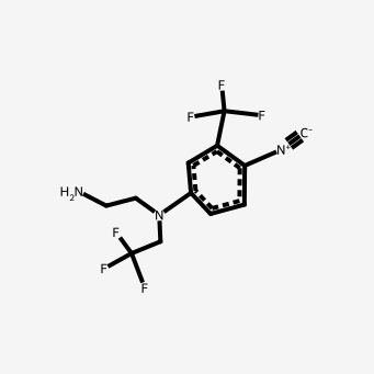 [C-]#[N+]c1ccc(N(CCN)CC(F)(F)F)cc1C(F)(F)F